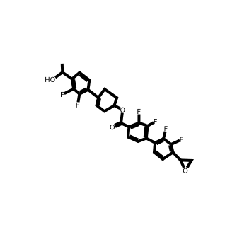 CC(O)c1ccc(C2=CCC(OC(=O)c3ccc(-c4ccc(C5CO5)c(F)c4F)c(F)c3F)CC2)c(F)c1F